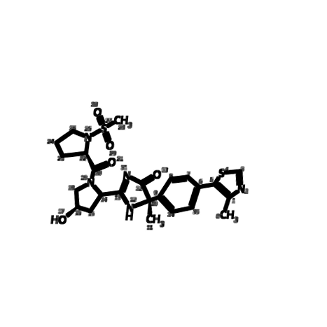 Cc1ncsc1-c1ccc([C@]2(C)NC(C3C[C@@H](O)CN3C(=O)[C@H]3CCCN3S(C)(=O)=O)=NC2=O)cc1